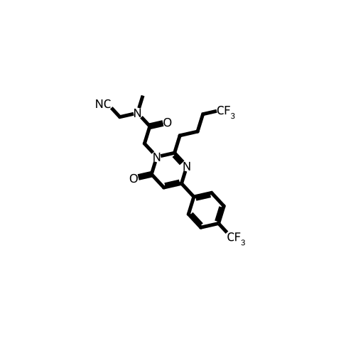 CN(CC#N)C(=O)Cn1c(CCCC(F)(F)F)nc(-c2ccc(C(F)(F)F)cc2)cc1=O